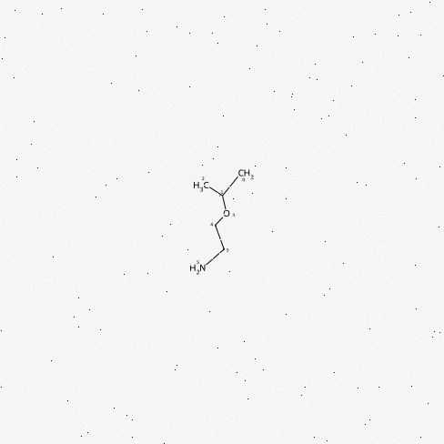 C[C](C)OCCN